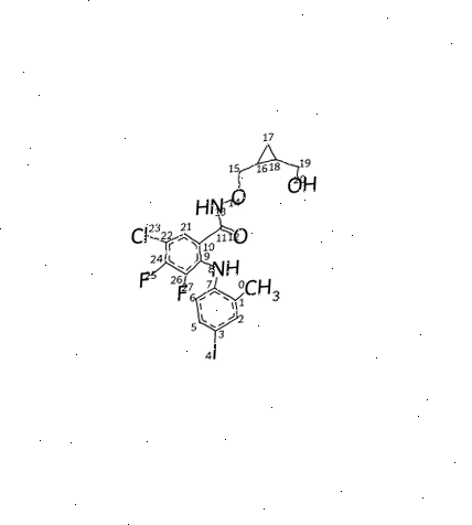 Cc1cc(I)ccc1Nc1c(C(=O)NOCC2CC2CO)cc(Cl)c(F)c1F